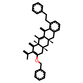 C=C(C)C1=C(OCc2ccccc2)C[C@@]2(C)C[C@@]3(C)Cc4cccc(CCc5ccccc5)c4C(=C)C3=C(C)[C@@]2(C)C1=C